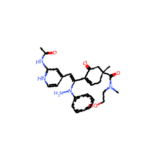 CC(=O)NC1C=C(/C=C(/C2=CCC(C)(C(=O)N(C)CCO)CC2=O)N(N)c2ccccc2)C=CN1